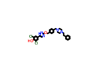 Oc1c(Cl)cc(-c2cnc(OCc3ccc(CN4CCN(CCc5ccccc5)CC4)cc3)nn2)cc1Cl